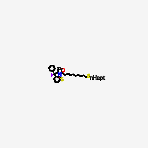 CCCCCCCSCCCCCC/C=C/CC(=O)N(C=S)[C@@H](C(C)C)C(I)(C1C=CC=CC1)[C@H]1C=CC=CC1